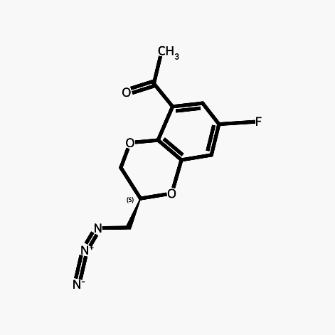 CC(=O)c1cc(F)cc2c1OC[C@H](CN=[N+]=[N-])O2